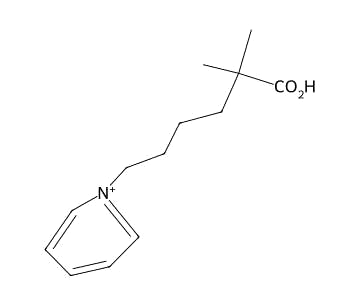 CC(C)(CCCC[n+]1ccccc1)C(=O)O